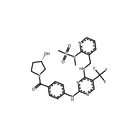 CN(c1ncccc1CNc1nc(Nc2ccc(C(=O)N3CC[C@H](O)C3)cc2)ncc1C(F)(F)F)S(C)(=O)=O